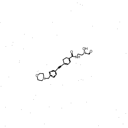 O=CN(O)CCNC(=O)C1=CC=C(C#Cc2ccc(CN3CCOCC3)cc2)CC1